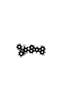 Cc1c(-c2ccc3c4cc5c(cc4c4cccc2c43)c2cccc3cccc5c32)cc2c(c1C)N(c1ccccc1)C1(C)CCCCC21C